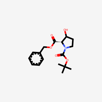 CC(C)(C)OC(=O)N1CCC(O)[C@H]1C(=O)OCc1ccccc1